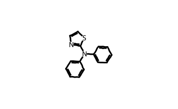 c1ccc(N(c2ccccc2)c2nccs2)cc1